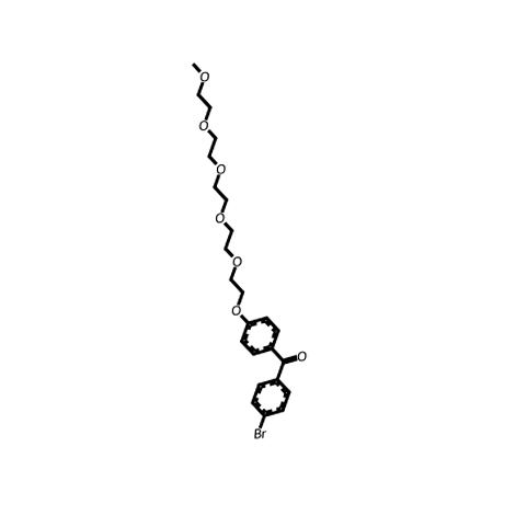 COCCOCCOCCOCCOCCOc1ccc(C(=O)c2ccc(Br)cc2)cc1